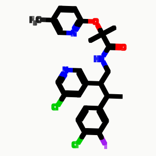 CC(c1ccc(Cl)c(I)c1)C(CNC(=O)C(C)(C)Oc1ccc(C(F)(F)F)cn1)c1cncc(Cl)c1